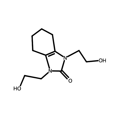 O=c1n(CCO)c2c(n1CCO)CCCC2